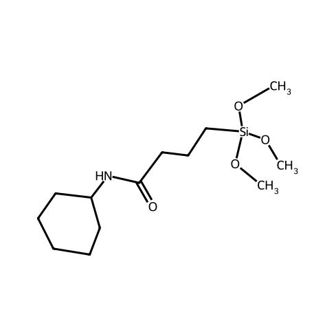 CO[Si](CCCC(=O)NC1CCCCC1)(OC)OC